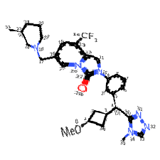 CO[C@H]1C[C@@H]([C@@H](c2cccc(-n3cc4c(C(F)(F)F)cc(CN5CCC[C@H](C)C5)cn4c3=O)c2)c2nncn2C)C1